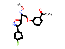 CCCO/N=C(\COc1cccc(C(=O)OC)c1)c1cc(-c2ccc(F)cc2)no1